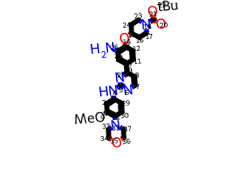 COc1cc(Nc2nccc(-c3ccc(OC4CCN(C(=O)OC(C)(C)C)CC4)c(N)c3)n2)ccc1N1CCOCC1